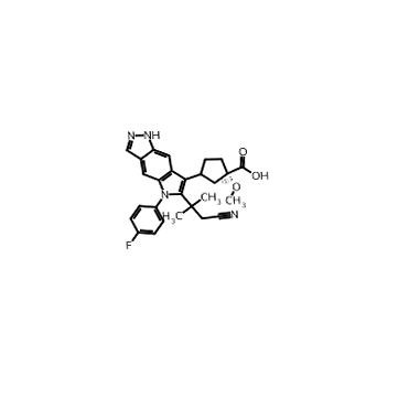 CO[C@@]1(C(=O)O)CCC(c2c(C(C)(C)CC#N)n(-c3ccc(F)cc3)c3cc4cn[nH]c4cc23)C1